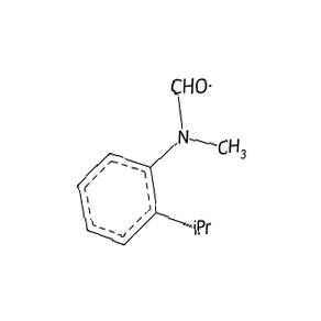 CC(C)c1ccccc1N(C)[C]=O